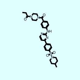 CCC(=O)N1CCN(C(=O)c2ccc(Nc3nccc(-c4ccc(S(=O)(=O)N5CCC(C)CC5)cc4)n3)cc2)CC1